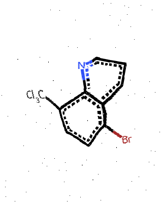 ClC(Cl)(Cl)c1ccc(Br)c2cccnc12